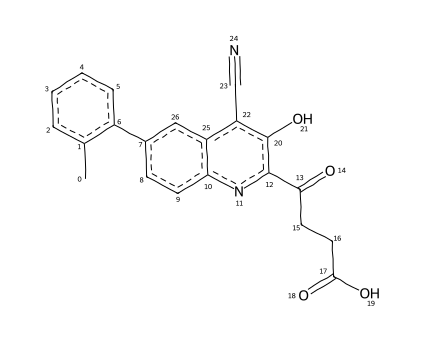 Cc1ccccc1-c1ccc2nc(C(=O)CCC(=O)O)c(O)c(C#N)c2c1